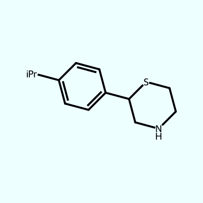 CC(C)c1ccc(C2CNCCS2)cc1